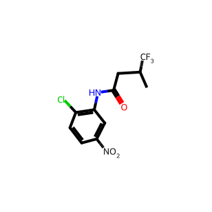 CC(CC(=O)Nc1cc([N+](=O)[O-])ccc1Cl)C(F)(F)F